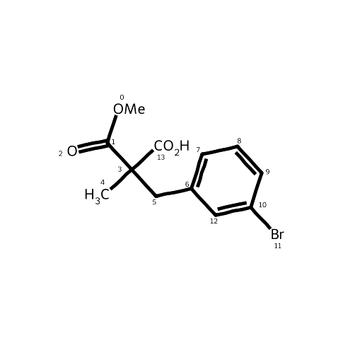 COC(=O)C(C)(Cc1cccc(Br)c1)C(=O)O